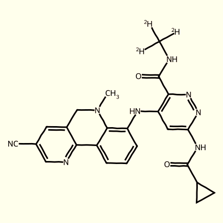 [2H]C([2H])([2H])NC(=O)c1nnc(NC(=O)C2CC2)cc1Nc1cccc2c1N(C)Cc1cc(C#N)cnc1-2